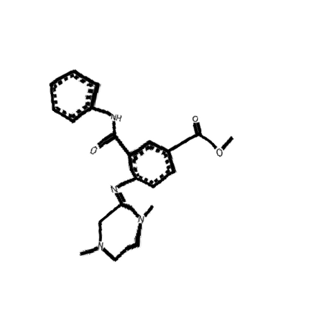 COC(=O)c1ccc(/N=C2/CN(C)CCN2C)c(C(=O)Nc2ccccc2)c1